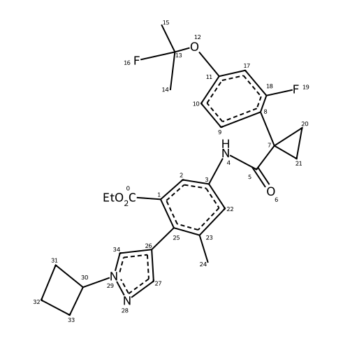 CCOC(=O)c1cc(NC(=O)C2(c3ccc(OC(C)(C)F)cc3F)CC2)cc(C)c1-c1cnn(C2CCC2)c1